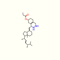 CCC(=O)O[C@H]1CCC2=C(C1)[C@H](/C=C1\CCCC3(C)C1CCC3[C@H](C)/C=C/[C@H](C)C(C)C)NNC2